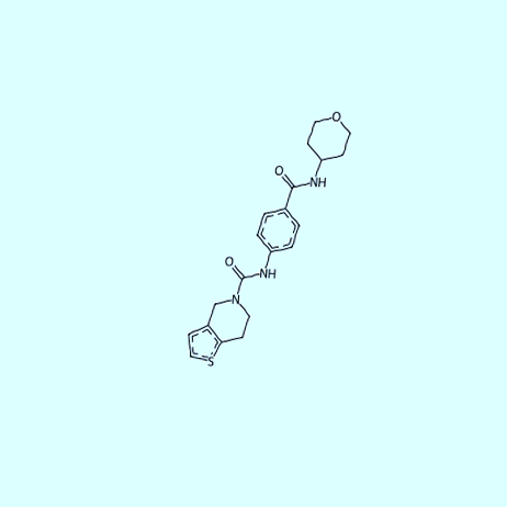 O=C(NC1CCOCC1)c1ccc(NC(=O)N2CCc3sccc3C2)cc1